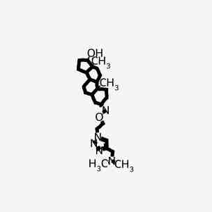 CN(C)Cc1cn(CCON=C2CC[C@@]3(C)C(CCC4C3CC[C@@]3(C)C4CC[C@@H]3O)C2)nn1